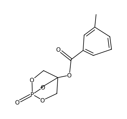 Cc1cccc(C(=O)OC23COP(=O)(OC2)OC3)c1